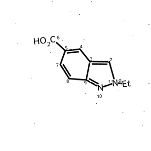 CCn1cc2cc(C(=O)O)ccc2n1